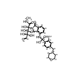 CNC(=O)C(O)(N1Cc2c(NC(O)(O)c3ccc(CN4CCOCC4)cc3F)cccc2C1=O)C(O)(O)C(O)(O)C=O